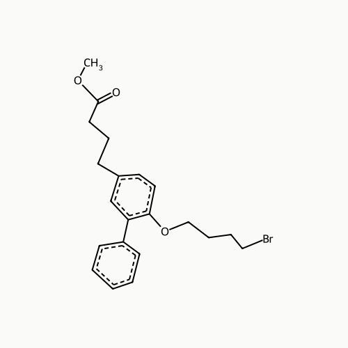 COC(=O)CCCc1ccc(OCCCCBr)c(-c2ccccc2)c1